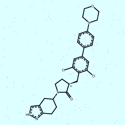 O=C1[C@H](Cc2c(Cl)cc(-c3ccc(N4CCOCC4)cc3)cc2Cl)CCN1C1CCc2n[nH]cc2C1